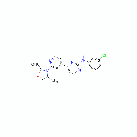 O=CC1OCC(C(F)(F)F)N1c1cc(-c2ccnc(Nc3cccc(Cl)c3)n2)ccn1